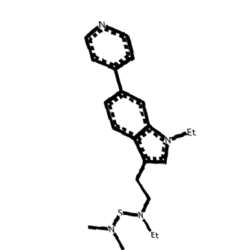 CCN(CCc1cn(CC)c2cc(-c3ccncc3)ccc12)SN(C)C